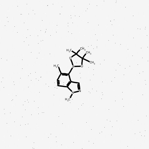 Cc1ccc2c(cnn2C)c1B1OC(C)(C)C(C)(C)O1